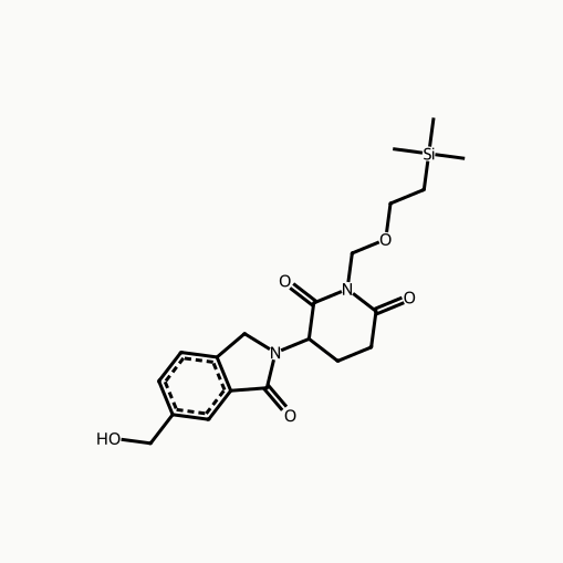 C[Si](C)(C)CCOCN1C(=O)CCC(N2Cc3ccc(CO)cc3C2=O)C1=O